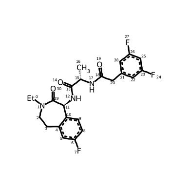 CCN1CCc2cc(F)ccc2[C@H](NC(=O)[C@H](C)NC(=O)Cc2cc(F)cc(F)c2)C1=O